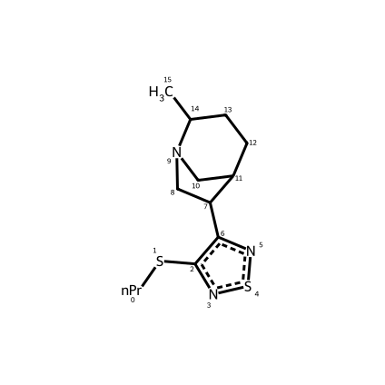 CCCSc1nsnc1C1CN2CC1CCC2C